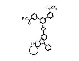 O=C(c1cccc(-c2cc(-c3cccc(C(=O)C(F)(F)F)c3)cc(N3CC(c4ccc5c(c4)C4CNC6(CCCCCCCC6)CC4N5c4ccccc4)C3)c2)c1)C(F)(F)F